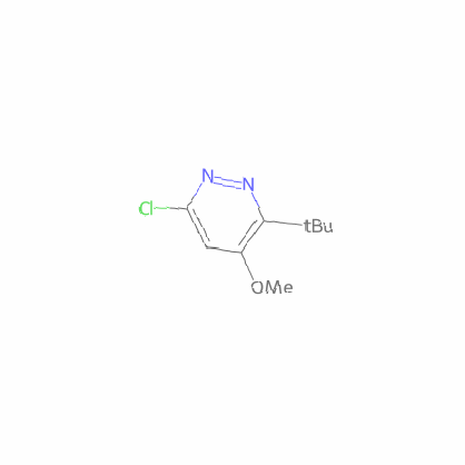 COc1cc(Cl)nnc1C(C)(C)C